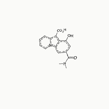 CN(C)C(=O)c1cc(O)c2c(C(=O)O)c3ccccn3c2c1